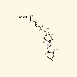 CC[n+]1ccccc1/C=C/c1ccc(N(C)CCSSCCNC)cc1